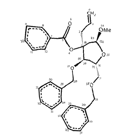 C=CC[C@]1(OC(=O)c2ccccc2)[C@@H](OC)O[C@H](COCc2ccccc2)[C@H]1OCc1ccccc1